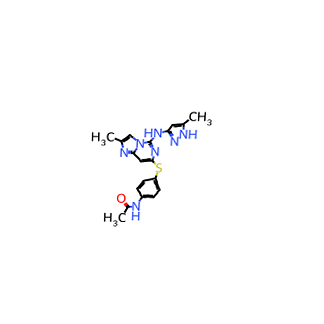 CC(=O)Nc1ccc(Sc2cc3nc(C)cn3c(Nc3cc(C)[nH]n3)n2)cc1